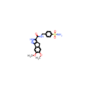 COc1cc2c(cc1OC)-c1n[nH]c(C(=O)NCc3ccc(S(N)(=O)=O)cc3)c1C2